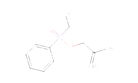 C=C(C)COP(=O)(CC)c1[c]cccc1